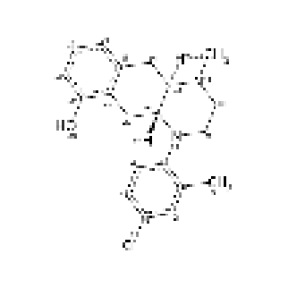 Cc1cc(Cl)ccc1N1CCN(C)[C@@H]2Cc3cccc(O)c3C[C@H]21